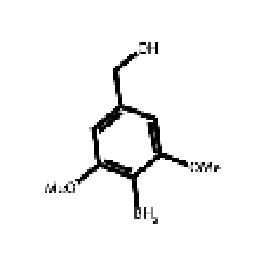 Bc1c(OC)cc(CO)cc1OC